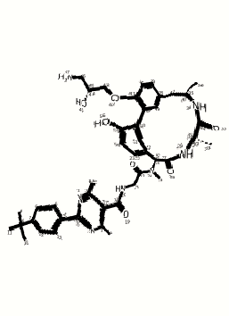 Cc1nc(-c2ccc(C(C)(C)C)cc2)nc(C)c1C(=O)NCC(=O)N(C)[C@@H]1C(=O)N[C@@H](C)C(=O)N[C@H](C)Cc2ccc(OC[C@H](O)CN)c(c2)-c2cc1ccc2O